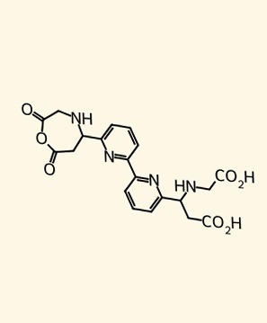 O=C(O)CNC(CC(=O)O)c1cccc(-c2cccc(C3CC(=O)OC(=O)CN3)n2)n1